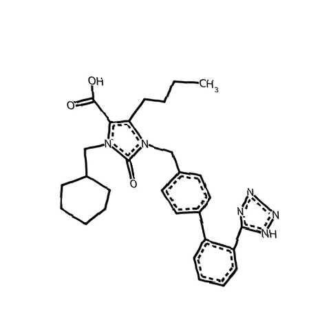 CCCCc1c(C(=O)O)n(CC2CCCCC2)c(=O)n1Cc1ccc(-c2ccccc2-c2nnn[nH]2)cc1